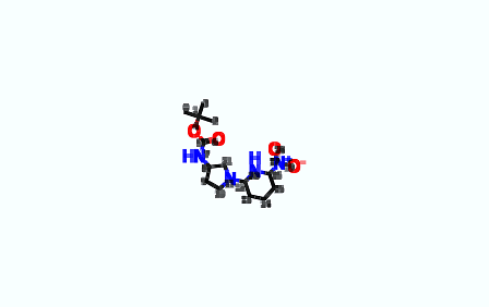 CC(C)(C)OC(=O)NC1CCN(C2CCCC([N+](=O)[O-])N2)C1